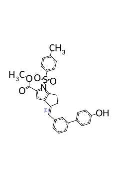 COC(=O)c1cc2c(n1S(=O)(=O)c1ccc(C)cc1)CC/C2=C\c1cccc(-c2ccc(O)cc2)c1